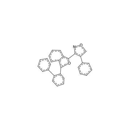 c1ccc(-c2ccccc2-c2oc(-c3nocc3-c3ccccc3)c3ccccc23)cc1